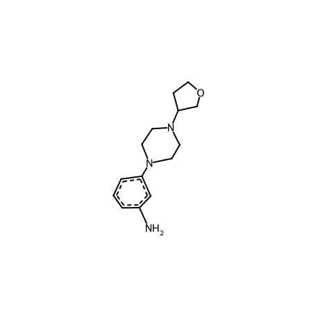 Nc1cccc(N2CCN(C3CCOC3)CC2)c1